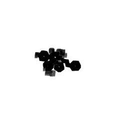 Cl.Cn1c(NC(CCc2ccccc2)[C@@H]2CCCN2)nc(-c2ccncc2)c(-c2ccc(F)cc2)c1=O